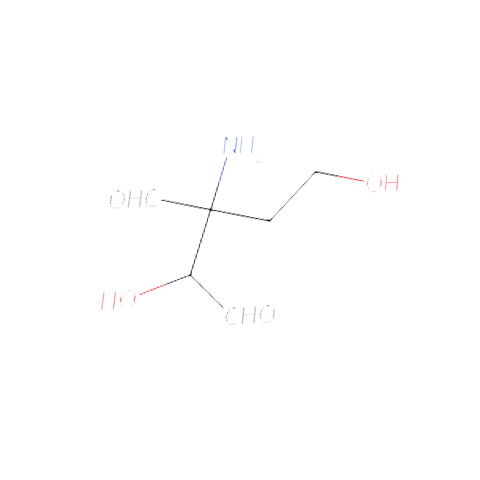 NC(C=O)(CCO)C(O)C=O